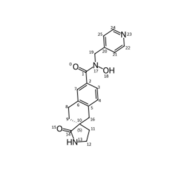 O=C(c1ccc2c(c1)CC[C@@]1(CCNC1=O)C2)N(O)Cc1ccncc1